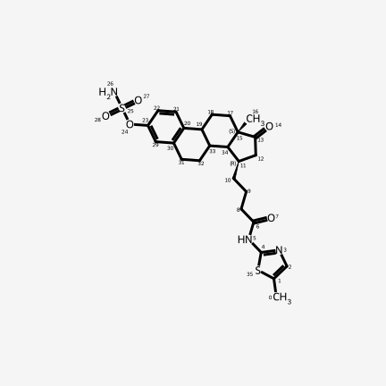 Cc1cnc(NC(=O)CCC[C@@H]2CC(=O)[C@@]3(C)CCC4c5ccc(OS(N)(=O)=O)cc5CCC4C23)s1